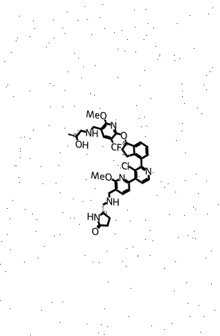 COc1nc(-c2ccnc(-c3cccc4c3CC[C@H]4Oc3nc(OC)c(CNC[C@H](C)O)cc3C(F)(F)F)c2Cl)ccc1CNC[C@@H]1CCC(=O)N1